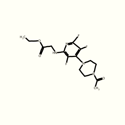 CCOC(=O)CNc1nc(F)c(F)c(N2CCN(C(C)=O)CC2)c1F